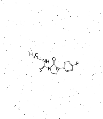 CCNC(=S)N1CCN(c2ccc(F)cc2)C1=O